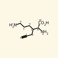 C#CCC(CCCN)[C@H](N)C(=O)O